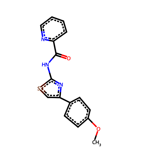 COc1ccc(-c2csc(NC(=O)c3ccccn3)n2)cc1